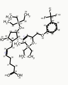 CC[Si](CC)(CC)OC(/C=C/[C@@H]1[C@@H](C/C=C\CCCC(=O)O)[C@@H](O)C[C@H]1O[Si](CC)(CC)CC)COc1cccc(C(F)(F)F)c1